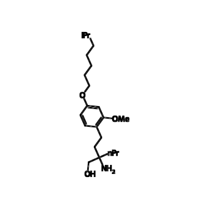 CCCC(N)(CO)CCc1ccc(OCCCCCC(C)C)cc1OC